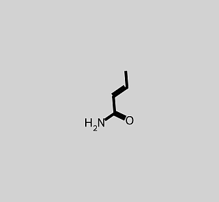 CC=CC(N)=O